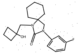 O=C1N(c2cccc(F)c2)CC2(CCCCC2)N1CC1(O)CCC1